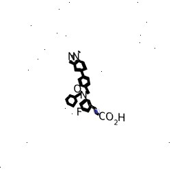 Cn1ncc2cc(-c3ccc(CN(C(=O)C4CCCCC4)c4cc(F)cc(/C=C/C(=O)O)c4)cc3)ccc21